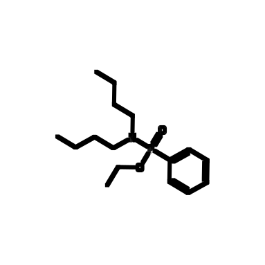 CCCCN(CCCC)P(=O)(OCC)c1ccccc1